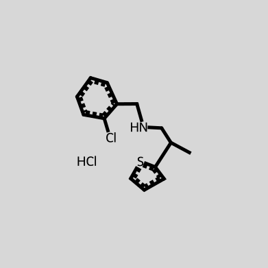 CC(CNCc1ccccc1Cl)c1cccs1.Cl